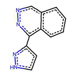 c1ccc2c(-c3cc[nH]n3)nncc2c1